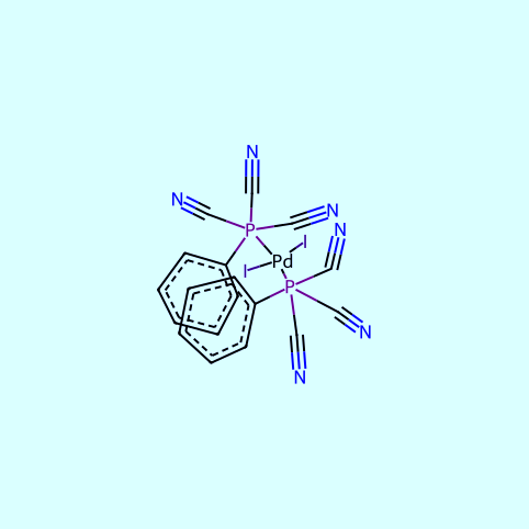 N#C[P](C#N)(C#N)(c1ccccc1)[Pd]([I])([I])[P](C#N)(C#N)(C#N)c1ccccc1